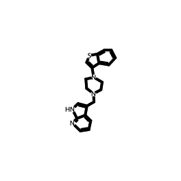 c1ccc2c(N3CCN(Cc4c[nH]c5ncccc45)CC3)csc2c1